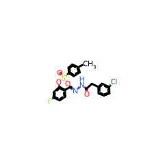 Cc1ccc(S(=O)(=O)Oc2cc(F)ccc2/C=N/NC(=O)Cc2cccc(Cl)c2)cc1